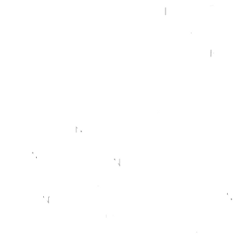 Cn1cnc2c(=O)n(-c3ccc4ncsc4c3)c(C3CCC(C(F)(F)F)CC3)nc21